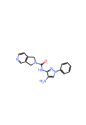 Nc1cn(-c2ccccc2)nc1NC(=O)N1Cc2ccncc2C1